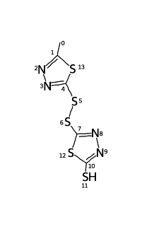 Cc1nnc(SSc2nnc(S)s2)s1